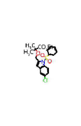 CCOC(=O)C(C)(C)OCc1cc2cc(Cl)ccc2n1S(=O)(=O)c1ccccc1